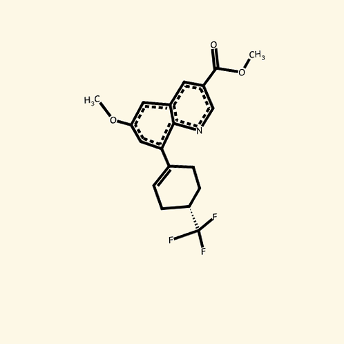 COC(=O)c1cnc2c(C3=CC[C@@H](C(F)(F)F)CC3)cc(OC)cc2c1